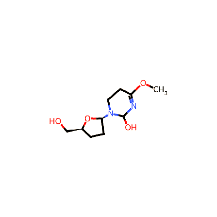 COC1=NC(O)N([C@H]2CC[C@@H](CO)O2)CC1